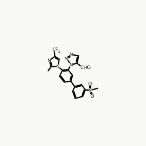 Cc1nc(C(F)(F)F)cn1-c1ccc(-c2cccc(S(C)(=O)=O)c2)cc1-n1nncc1C=O